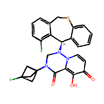 O=C1c2c(O)c(=O)ccn2N([C@@H]2c3ccccc3SCc3cccc(F)c32)CN1C12CC(F)(C1)C2